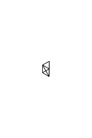 C12C34C5C13C254